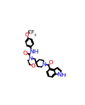 O=C(Nc1ccc(OC(F)(F)F)cc1)N1CCOC2(CCN(C(=O)c3cccc4[nH]ccc34)CC2)C1